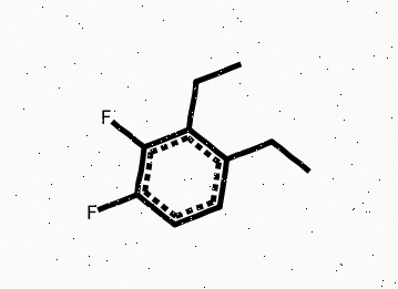 CCc1ccc(F)c(F)c1CC